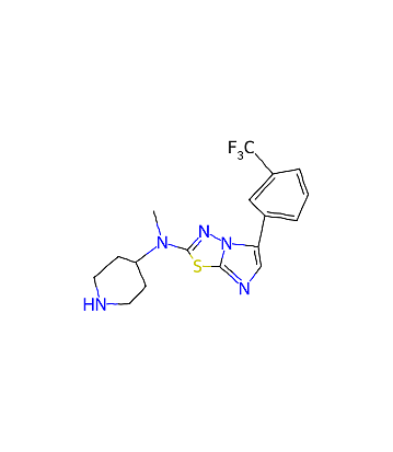 CN(c1nn2c(-c3cccc(C(F)(F)F)c3)cnc2s1)C1CCNCC1